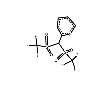 O=S(=O)(C(c1ccccn1)S(=O)(=O)C(F)(F)F)C(F)(F)F